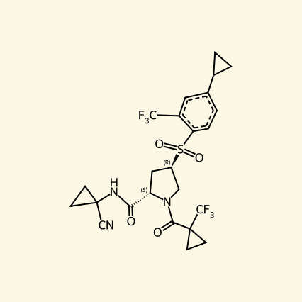 N#CC1(NC(=O)[C@@H]2C[C@@H](S(=O)(=O)c3ccc(C4CC4)cc3C(F)(F)F)CN2C(=O)C2(C(F)(F)F)CC2)CC1